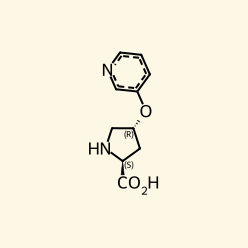 O=C(O)[C@@H]1C[C@@H](Oc2cccnc2)CN1